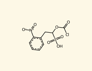 O=C(Cl)OC(Cc1ccccc1[N+](=O)[O-])S(=O)(=O)O